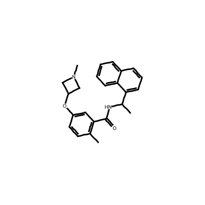 Cc1ccc(OC2CN(C)C2)cc1C(=O)NC(C)c1cccc2ccccc12